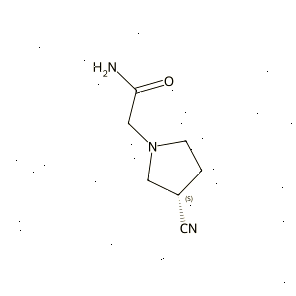 N#C[C@H]1CCN(CC(N)=O)C1